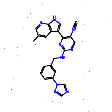 [C-]#[N+]c1cnc(NCc2cccc(-n3cncn3)c2)nc1-c1c[nH]c2ncc(C)cc12